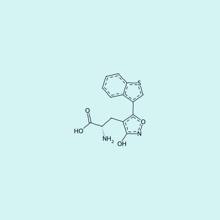 N[C@@H](Cc1c(O)noc1-c1csc2ccccc12)C(=O)O